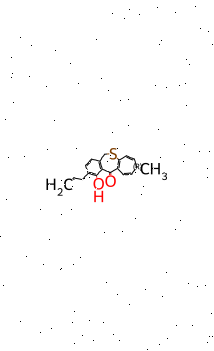 C=CCc1ccc2c(c1O)C(=O)C1=C(C=C[C@H](C)C=C1)SC2